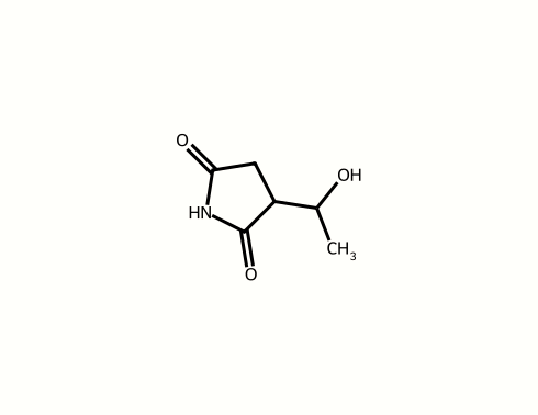 CC(O)C1CC(=O)NC1=O